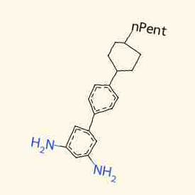 CCCCCC1CCC(c2ccc(-c3cc(N)cc(N)c3)cc2)CC1